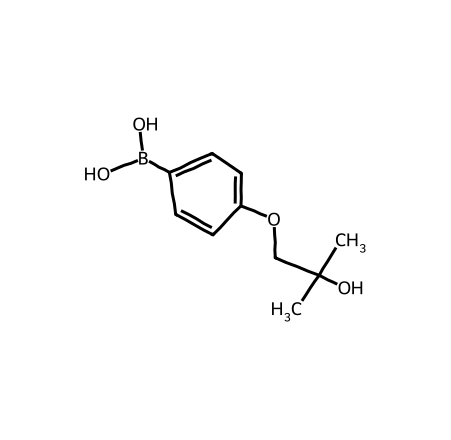 CC(C)(O)COc1ccc(B(O)O)cc1